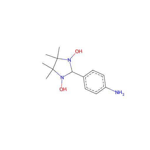 CC1(C)N(O)C(c2ccc(N)cc2)N(O)C1(C)C